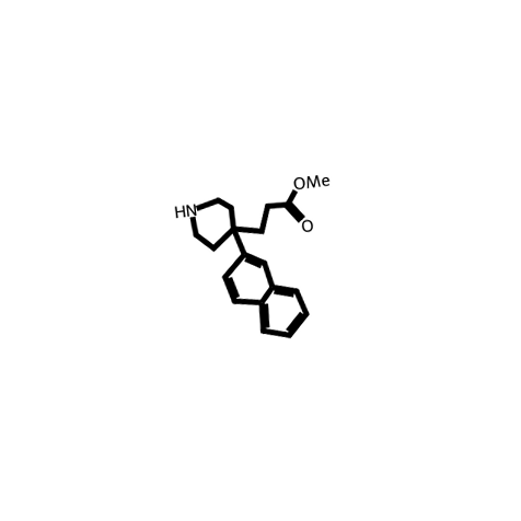 COC(=O)CCC1(c2ccc3ccccc3c2)CCNCC1